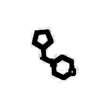 [CH](C1CCCC1)N1CCOCC1